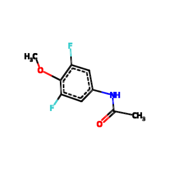 COc1c(F)cc(NC(C)=O)cc1F